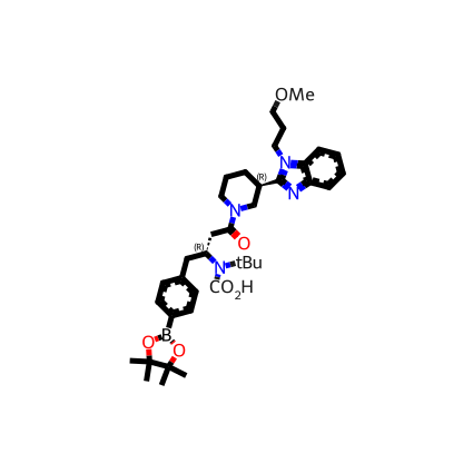 COCCCn1c([C@@H]2CCCN(C(=O)C[C@@H](Cc3ccc(B4OC(C)(C)C(C)(C)O4)cc3)N(C(=O)O)C(C)(C)C)C2)nc2ccccc21